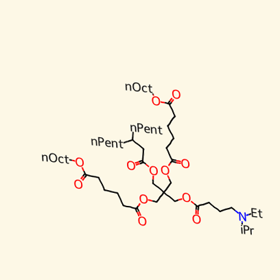 CCCCCCCCOC(=O)CCCCC(=O)OCC(COC(=O)CCCCC(=O)OCCCCCCCC)(COC(=O)CCCN(CC)C(C)C)COC(=O)CC(CCCCC)CCCCC